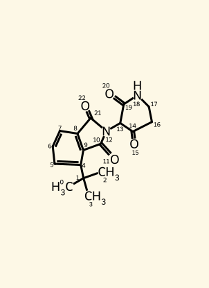 CC(C)(C)c1cccc2c1C(=O)N(C1C(=O)CCNC1=O)C2=O